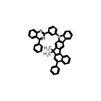 CC1(C)c2cc3c(cc2-c2c1cc(-c1ccccc1)c1ccccc21)c1ccccc1n3-c1cccc(-c2nc(-c3ccccc3)c3ccccc3n2)c1